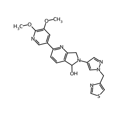 COc1cc(-c2ccc3c(n2)CN(c2cnn(Cc4cscn4)c2)C3O)cnc1OC